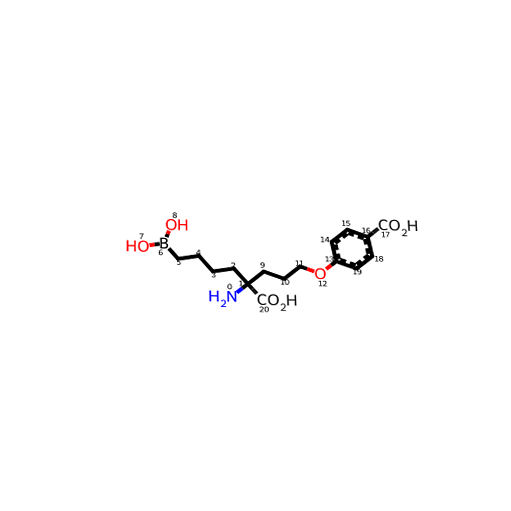 NC(CCCCB(O)O)(CCCOc1ccc(C(=O)O)cc1)C(=O)O